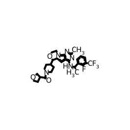 Cc1nc(N[C@H](C)c2cccc(C(F)(F)F)c2F)c2cc3n(c2n1)CCOC3C1CCN(C(=O)C2CCOC2)CC1